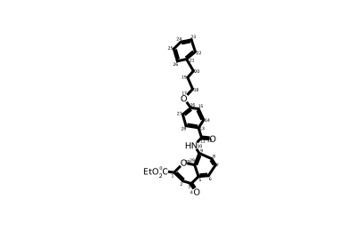 CCOC(=O)c1cc(=O)c2cccc(NC(=O)c3ccc(OCCCc4ccccc4)cc3)c2o1